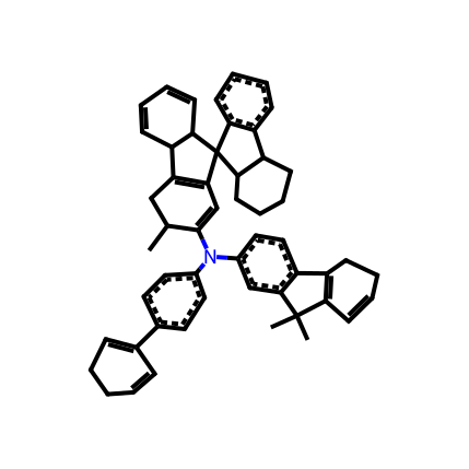 CC1CC2=C(C=C1N(c1ccc(C3=CCCC=C3)cc1)c1ccc3c(c1)C(C)(C)C1=C3CCC=C1)C1(c3ccccc3C3CCCCC31)C1C=CC=CC21